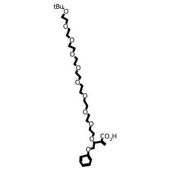 C=C(C(=O)O)C(COc1ccccc1)OCCOCCOCCOCCOCCOCCOCCOCCOCCOC(C)(C)C